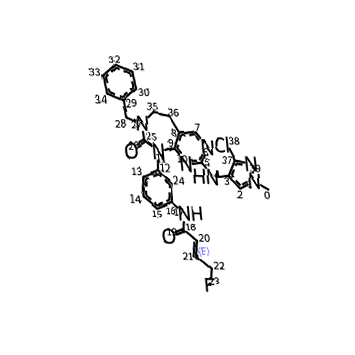 Cn1cc(Nc2ncc3c(n2)N(c2cccc(NC(=O)/C=C/CF)c2)C(=O)N(Cc2ccccc2)CC3)c(Cl)n1